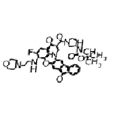 CC(C)(C)OC(=O)N[C@H]1CCN(C(=O)c2cn3c4cc5c(cc4oc4c(NCCN6CCOCC6)c(F)cc(c2=O)c43)c(=O)c2ccccc25)C1